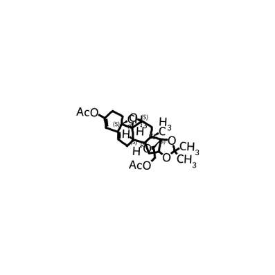 CC(=O)OCC(=O)[C@@]12OC(C)(C)OC1C[C@H]1[C@@H]3CC=C4C=C(OC(C)=O)CC[C@]4(C)[C@@]34O[C@H]4C[C@@]12C